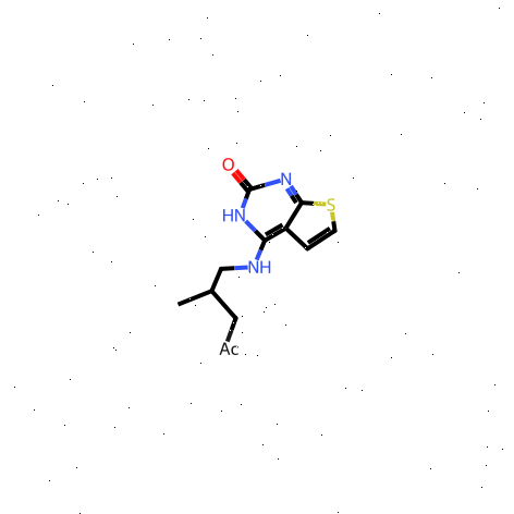 CC(=O)CC(C)CNc1[nH]c(=O)nc2sccc12